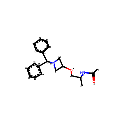 CC(=O)NC(C)COC1CN(C(c2ccccc2)c2ccccc2)C1